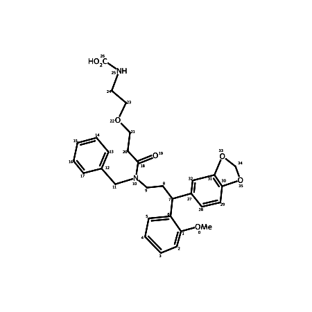 COc1ccccc1C(CCN(Cc1ccccc1)C(=O)CCOCCNC(=O)O)c1ccc2c(c1)OCO2